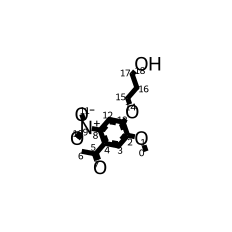 COc1cc(C(C)=O)c([N+](=O)[O-])cc1OCCCO